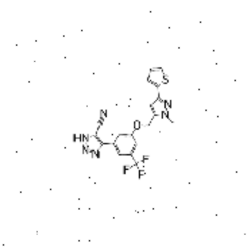 Cn1nc(-c2cccs2)cc1COc1cc(-c2nn[nH]c2C#N)cc(C(F)(F)F)c1